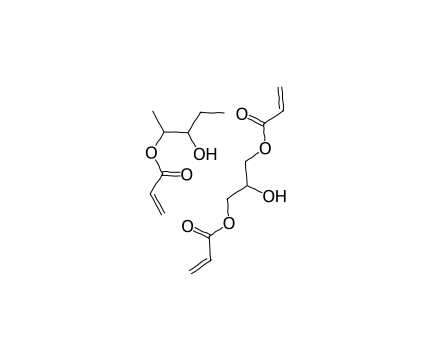 C=CC(=O)OC(C)C(O)CC.C=CC(=O)OCC(O)COC(=O)C=C